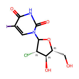 O=c1[nH]c(=O)n(C2O[C@H](CO)[C@@H](O)[C@@H]2Cl)cc1I